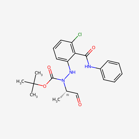 C[C@@H](C=O)N(Nc1cccc(Cl)c1C(=O)Nc1ccccc1)C(=O)OC(C)(C)C